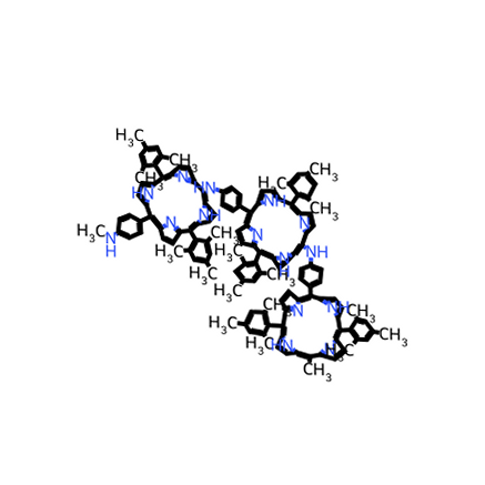 CNc1ccc(-c2c3nc(c(-c4c(C)cc(C)cc4C)c4ccc([nH]4)c(Nc4ccc(-c5c6nc(c(-c7c(C)cc(C)cc7C)c7ccc([nH]7)c(Nc7ccc(-c8c9nc(c(-c%10c(C)cc(C)cc%10C)c%10ccc([nH]%10)c(C)c%10nc(c(-c%11c(C)cc(C)cc%11C)c%11ccc8[nH]%11)C=C%10)C=C9)cc7)c7nc(c(-c8c(C)cc(C)cc8C)c8ccc5[nH]8)C=C7)C=C6)cc4)c4nc(c(-c5c(C)cc(C)cc5C)c5ccc2[nH]5)C=C4)C=C3)cc1